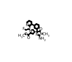 COC(=O)C1=CC([C@]2(c3cccc(-c4cccnc4F)c3)N=C(N)N(C)C2=O)CN1CCF